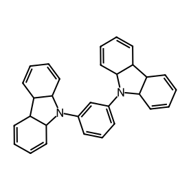 C1=CC2C3C=CC=CC3N(c3cccc(N4C5C=CC=CC5C5C=CC=CC54)c3)C2C=C1